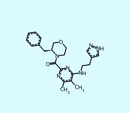 Cc1nc(C(=O)N2CCOC[C@@H]2Cc2ccccc2)nc(NCCc2cn[nH]c2)c1C